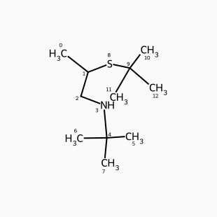 CC(CNC(C)(C)C)SC(C)(C)C